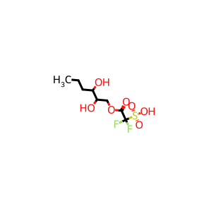 CCCC(O)C(O)COC(=O)C(F)(F)S(=O)(=O)O